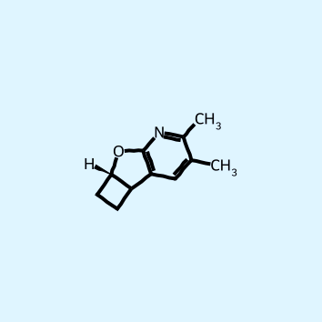 Cc1cc2c(nc1C)O[C@H]1CCC21